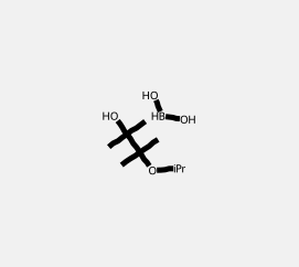 CC(C)OC(C)(C)C(C)(C)O.OBO